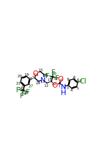 O=C(Nc1ccc(Cl)cc1)O[C@@H](CN1CCO[C@@H](c2cccc(C(F)(F)F)c2)C1)C(F)(F)F